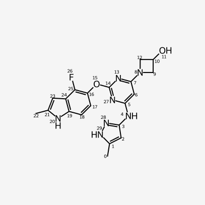 Cc1cc(Nc2cc(N3CC(O)C3)nc(Oc3ccc4[nH]c(C)cc4c3F)n2)n[nH]1